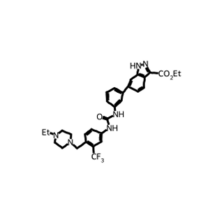 CCOC(=O)c1n[nH]c2cc(-c3cccc(NC(=O)Nc4ccc(CN5CCN(CC)CC5)c(C(F)(F)F)c4)c3)ccc12